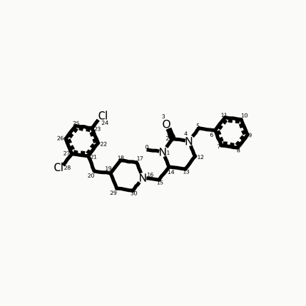 CN1C(=O)N(Cc2ccccc2)CCC1CN1CCC(Cc2cc(Cl)ccc2Cl)CC1